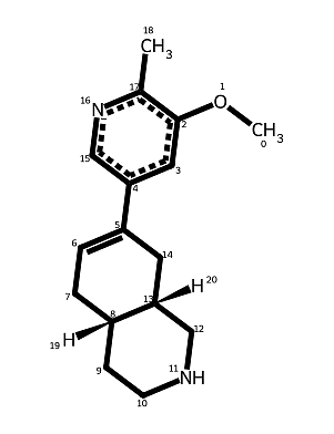 COc1cc(C2=CC[C@H]3CCNC[C@H]3C2)cnc1C